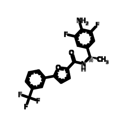 C[C@H](NC(=O)c1ccc(-c2cccc(C(F)(F)F)c2)o1)c1cc(F)c(N)c(F)c1